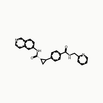 O=C(NCc1ccccn1)c1ccc(C2C[C@@H]2C(=O)Nc2ccc3cnccc3c2)cc1